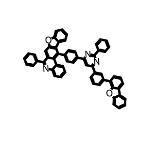 c1ccc(-c2nc(-c3ccc(-c4c5c(cc6c(-c7ccccc7)nc7ccccc7c46)oc4ccccc45)cc3)cc(-c3cccc(-c4cccc5c4oc4ccccc45)c3)n2)cc1